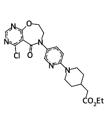 CCOC(=O)CC1CCN(c2ccc(N3CCOc4ncnc(Cl)c4C3=O)cn2)CC1